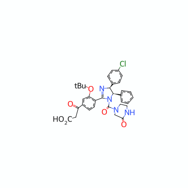 CC(C)(C)Oc1cc(C(=O)CC(=O)O)ccc1C1=N[C@@H](c2ccc(Cl)cc2)[C@@H](c2ccccc2)N1C(=O)N1CCNC(=O)C1